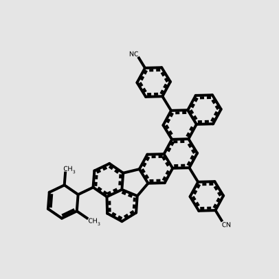 CC1=CC=CC(C)C1c1ccc2c3c(cccc13)-c1cc3c(-c4ccc(C#N)cc4)cc4c5ccccc5c(-c5ccc(C#N)cc5)cc4c3cc1-2